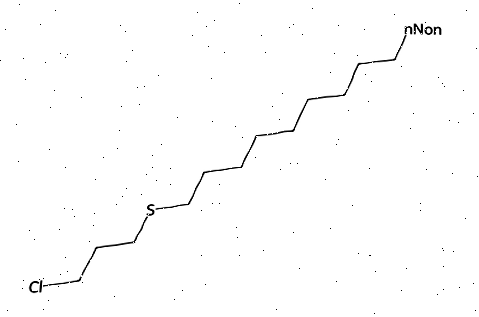 CCCCCCCCCCCCCCCCCCSCCCCl